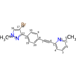 Cc1cccc(C#Cc2ccc(-c3nn(C)cc3Br)cc2)n1